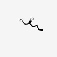 C=CCCC(=O)CS